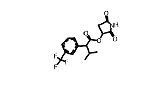 CC(C)C(C(=O)OC1CC(=O)NC1=O)c1cccc(C(F)(F)F)c1